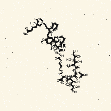 CCN(CCc1c(Cc2cc3c(cc2OC)N(C)[C@H]2[C@@](O)(C(=O)NNC(=O)OCCSSC[C@H](NC(=O)C(NC(=O)[C@H](CC(=O)O)NC(=O)C(N)C(O)[C@H](O)[C@H](O)CO)C(O)[C@@H](O)[C@H](O)CO)C(=O)O)[C@H](O)[C@]4(CC)C=CCN5CC[C@]32C54)[nH]c2ccccc12)C[C@](O)(CC)CCCC(=O)OC